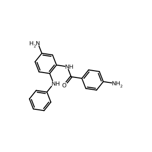 Nc1ccc(C(=O)Nc2cc(N)ccc2Nc2ccccc2)cc1